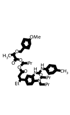 CCC(CC(=O)OC(OC(=O)C(C)OCc1ccc(OC)cc1)C(C)C)c1ccc(N(CC(C)C)CC(C)C)c(NC(=O)Nc2ccc(C)cc2)c1